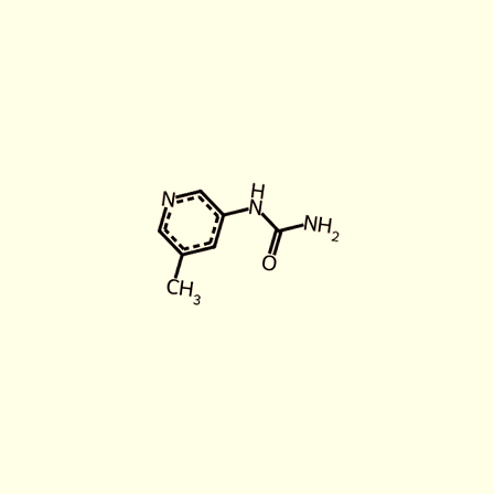 Cc1cncc(NC(N)=O)c1